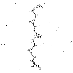 C=CCOCCNCCOCC=C